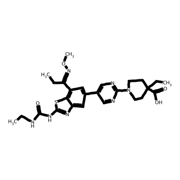 CCNC(=O)Nc1nc2cc(-c3cnc(N4CCC(CC)(C(=O)O)CC4)nc3)cc(/C(CC)=N/OC)c2s1